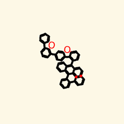 c1ccc(-c2ccccc2-c2c3ccccc3c(-c3cccc4oc5cc(-c6cccc7c6oc6ccccc67)ccc5c34)c3ccccc23)cc1